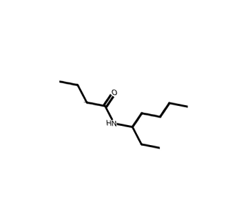 CC[CH]C(=O)NC(CC)CCCC